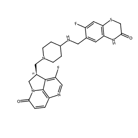 O=C1CSc2cc(F)c(CNC3CCN(C[C@@H]4Cn5c(=O)ccc6ncc(F)c4c65)CC3)cc2N1